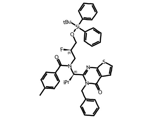 Cc1ccc(C(=O)N(C[C@@H](F)CO[Si](c2ccccc2)(c2ccccc2)C(C)(C)C)[C@@H](c2nc3sccc3c(=O)n2Cc2ccccc2)C(C)C)cc1